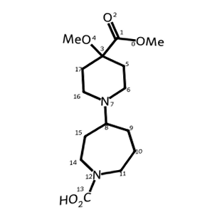 COC(=O)C1(OC)CCN(C2CCCN(C(=O)O)CC2)CC1